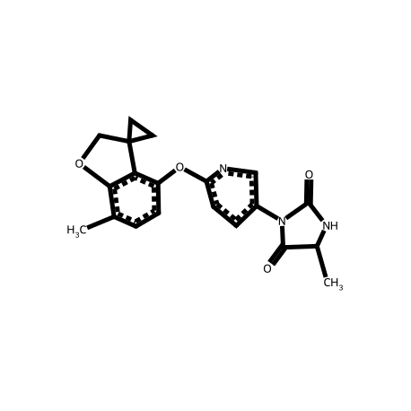 Cc1ccc(Oc2ccc(N3C(=O)NC(C)C3=O)cn2)c2c1OCC21CC1